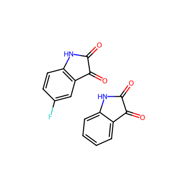 O=C1Nc2ccc(F)cc2C1=O.O=C1Nc2ccccc2C1=O